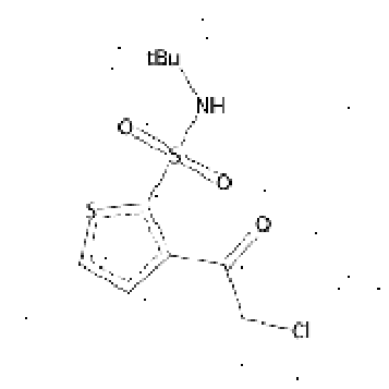 CC(C)(C)NS(=O)(=O)c1sccc1C(=O)CCl